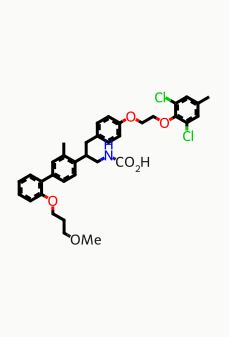 COCCCOc1ccccc1-c1ccc(C(CNC(=O)O)Cc2ccc(OCCOc3c(Cl)cc(C)cc3Cl)cc2)c(C)c1